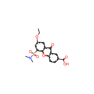 CCOc1cc(S(=O)(=O)N(C)C)c2oc3ccc(C(=O)O)cc3c(=O)c2c1